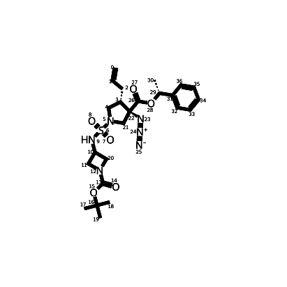 C=CC[C@H]1CN(S(=O)(=O)NC2CN(C(=O)OC(C)(C)C)C2)C[C@@]1(N=[N+]=[N-])C(=O)O[C@H](C)c1ccccc1